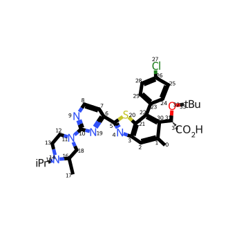 Cc1cc2nc(-c3ccnc(N4CCN(C(C)C)C(C)C4)n3)sc2c(-c2ccc(Cl)cc2)c1[C@H](OC(C)(C)C)C(=O)O